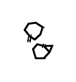 [CH]1CCCN2CC12.[CH]1CCCNCC1